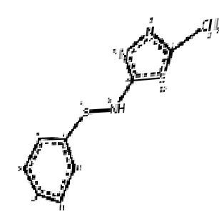 Cc1nnc(NSc2ccccc2)s1